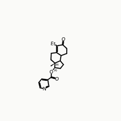 CCC1=C2CC[C@]3(C)C(CC[C@H]3OC(=O)c3cccnc3)C2CCC1=O